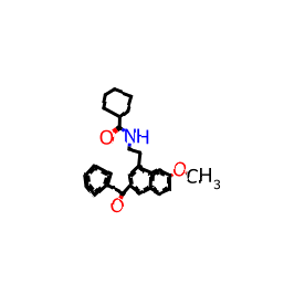 COc1ccc2cc(C(=O)c3ccccc3)cc(CCNC(=O)C3CCCCC3)c2c1